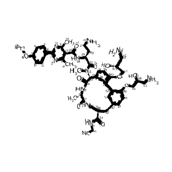 Cc1nc(-c2ccc(OC(C)C)cc2)nc(C)c1C(=O)N[C@@H](CCN)C(=O)N(C)[C@@H]1C(=O)N[C@@H](C)C(=O)N[C@H](C(=O)NCC#N)Cc2ccc(O/C=C(\O)CN)c(c2)-c2cc1ccc2OC[C@H](O)CN